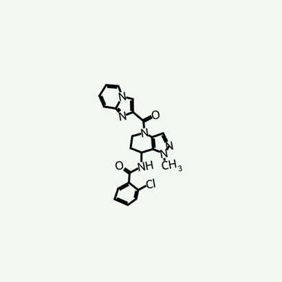 Cn1ncc2c1C(NC(=O)c1ccccc1Cl)CCN2C(=O)c1cn2ccccc2n1